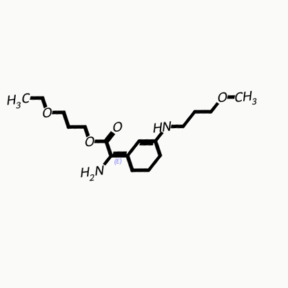 CCOCCCOC(=O)/C(N)=C1\C=C(NCCCOC)CCC1